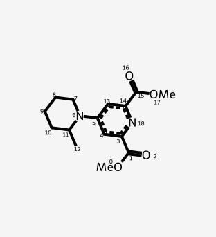 COC(=O)c1cc(N2CCCCC2C)cc(C(=O)OC)n1